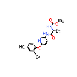 CCC(NC(=O)OC(C)(C)C)C(=O)Nc1ccc(Oc2ccc(C#N)cc2C2CC2)nc1